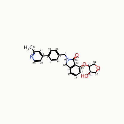 Cc1cc(-c2ccc(CN3Cc4cccc(OC5COCC5O)c4C3=O)cc2)ccn1